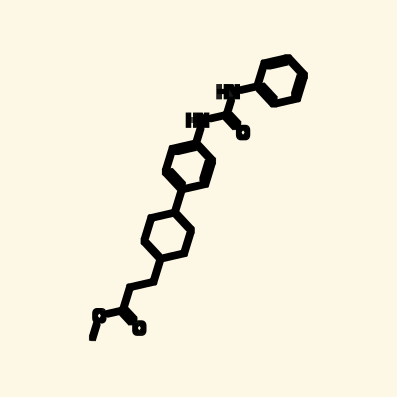 COC(=O)CCC1CCC(c2ccc(NC(=O)Nc3ccccc3)cc2)CC1